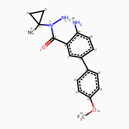 N#CC1(N(N)C(=O)c2cc(-c3ccc(OC(F)(F)F)cc3)ccc2N)CC1